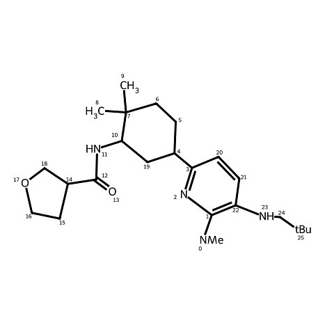 CNc1nc(C2CCC(C)(C)C(NC(=O)C3CCOC3)C2)ccc1NCC(C)(C)C